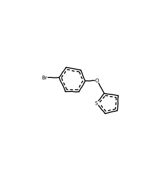 Brc1ccc(Oc2cccs2)cc1